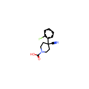 N#CC1(c2ccccc2F)CCN(C(=O)O)CC1